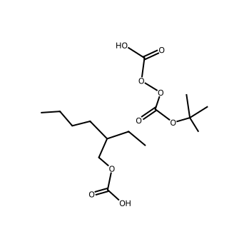 CC(C)(C)OC(=O)OOC(=O)O.CCCCC(CC)COC(=O)O